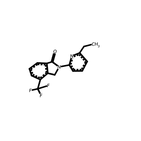 CCc1cccc(N2Cc3c(cccc3C(F)(F)F)C2=O)n1